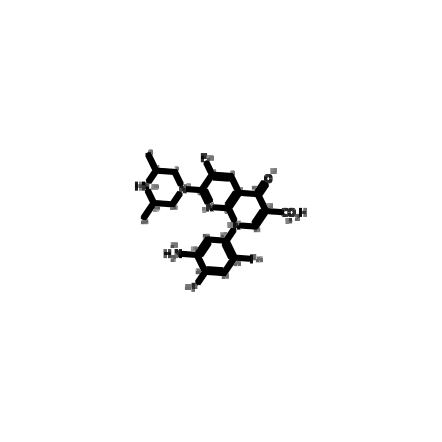 CC1CN(c2nc3c(cc2F)c(=O)c(C(=O)O)cn3-c2cc(N)c(F)cc2F)CC(C)N1